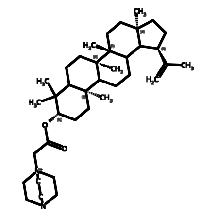 C=C(C)[C@@H]1CC[C@]2(C)CC[C@]3(C)C(CCC4[C@@]5(C)CC[C@H](OC(=O)C[N+]67CCN(CC6)CC7)C(C)(C)C5CC[C@]43C)C12